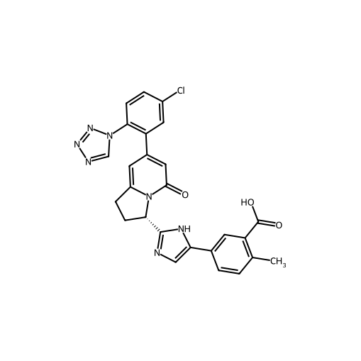 Cc1ccc(-c2cnc([C@@H]3CCc4cc(-c5cc(Cl)ccc5-n5cnnn5)cc(=O)n43)[nH]2)cc1C(=O)O